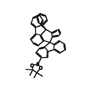 CC1(C)OB(c2ccc3c(c2)-c2ccccc2C32c3ccccc3C3(c4ccccc4)c4ccccc4-c4cccc2c43)OC1(C)C